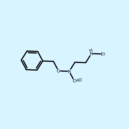 CCNCCN(C=O)OCc1ccccc1